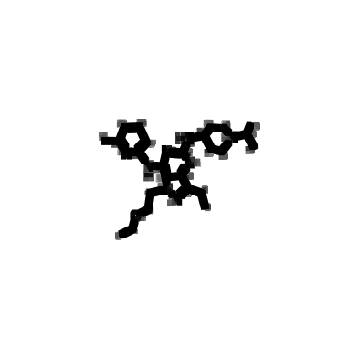 CCOCCn1nc(CC)c2nc(NC3CCN(C(C)C)CC3)nc(Nc3cccc(C)n3)c21